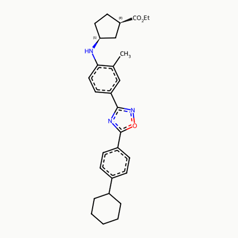 CCOC(=O)[C@@H]1CC[C@H](Nc2ccc(-c3noc(-c4ccc(C5CCCCC5)cc4)n3)cc2C)C1